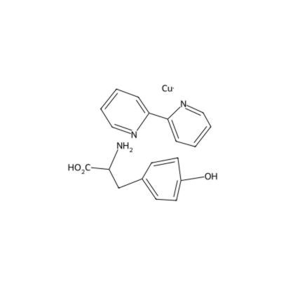 NC(Cc1ccc(O)cc1)C(=O)O.[Cu].c1ccc(-c2ccccn2)nc1